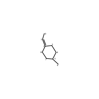 CC=C1CCC(C)CC1